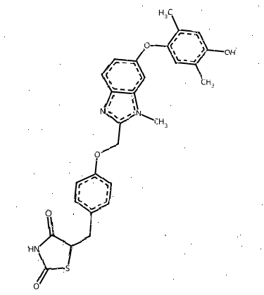 Cc1cc(Oc2ccc3nc(COc4ccc(CC5SC(=O)NC5=O)cc4)n(C)c3c2)c(C)cc1O